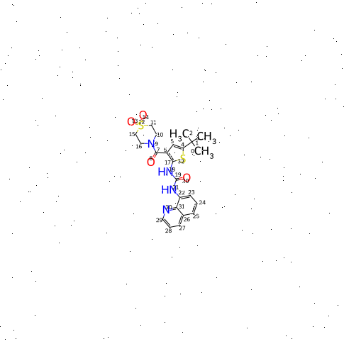 CC(C)(C)c1cc(C(=O)N2CCS(=O)(=O)CC2)c(NC(=O)Nc2cccc3cccnc23)s1